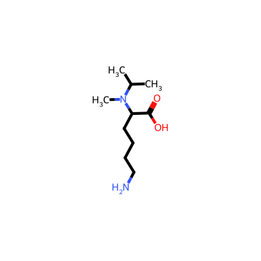 CC(C)N(C)C(CCCCN)C(=O)O